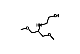 COCC(COC)NCCO